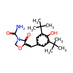 CC(C)(C)c1cc(C=C2OCN(C(N)=O)C2=O)cc(C(C)(C)C)c1O